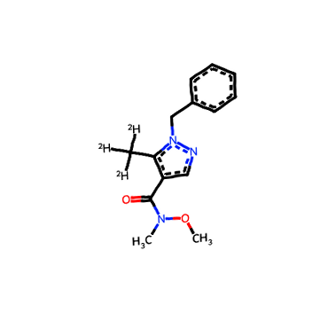 [2H]C([2H])([2H])c1c(C(=O)N(C)OC)cnn1Cc1ccccc1